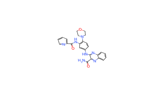 NC(=O)c1nc2ccccc2nc1Nc1ccc(N2CCOCC2)c(NC(=O)c2ccccn2)c1